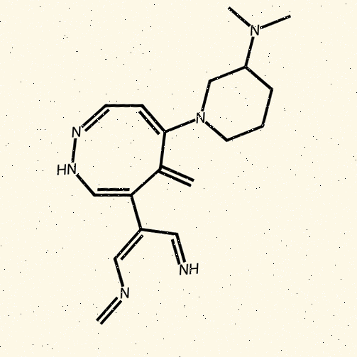 C=N/C=C(C=N)/C1=C/N/N=C\C=C(\N2CCCC(N(C)C)C2)C1=C